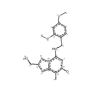 COc1ccc(CNc2nc(Cl)c(C)c3nc(CO)nn23)c(OC)c1